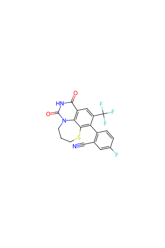 N#Cc1cc(F)ccc1-c1c(C(F)(F)F)cc2c(=O)[nH]c(=O)n3c2c1SCCC3